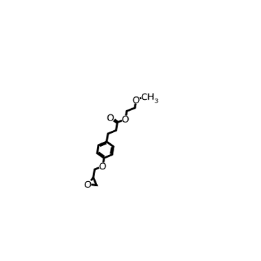 COCCOC(=O)CCc1ccc(OCC2CO2)cc1